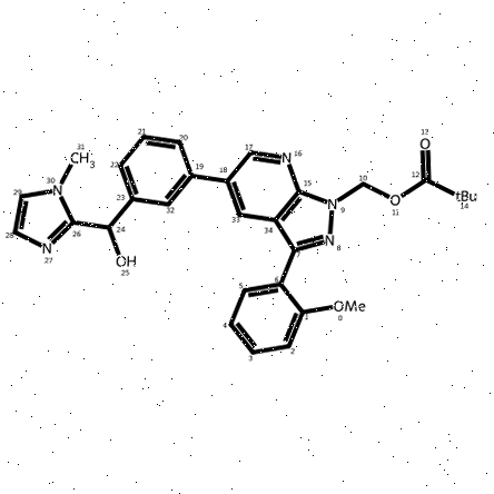 COc1ccccc1-c1nn(COC(=O)C(C)(C)C)c2ncc(-c3cccc(C(O)c4nccn4C)c3)cc12